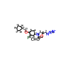 [N-]=[N+]=NC[C@@H]1CN(c2ccc(OCc3ccccc3)c(F)c2)C(C=O)O1